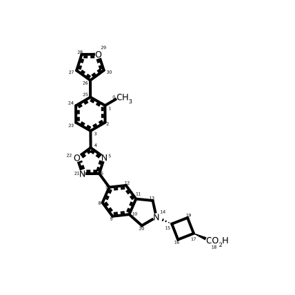 Cc1cc(-c2nc(-c3ccc4c(c3)CN([C@H]3C[C@H](C(=O)O)C3)C4)no2)ccc1-c1ccoc1